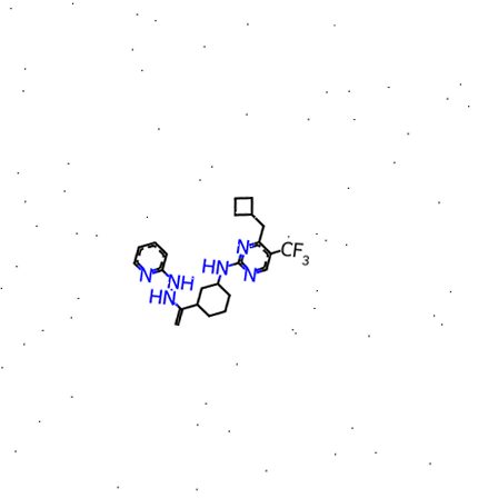 C=C(NNc1ccccn1)C1CCCC(Nc2ncc(C(F)(F)F)c(CC3CCC3)n2)C1